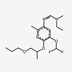 CCCOCC(C)Oc1nc(C)c(/N=C\N(C)CC)cc1OC(F)F